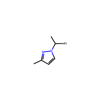 Cc1ccn(C(C)C(C)C)n1